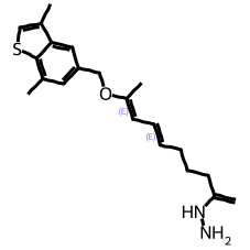 C=C(CCC/C=C/C=C(\C)OCc1cc(C)c2scc(C)c2c1)NN